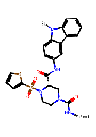 CCCCCNC(=O)N1CCN(S(=O)(=O)c2cccs2)[C@H](C(=O)Nc2ccc3c(c2)c2ccccc2n3CC)C1